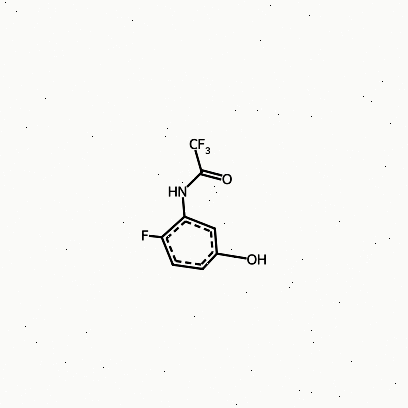 O=C(Nc1cc(O)ccc1F)C(F)(F)F